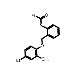 CCC(=O)Sc1ccccc1COc1ccc(CC)cc1C